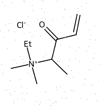 C=CC(=O)C(C)[N+](C)(C)CC.[Cl-]